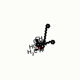 C=CCN1CC[C@]23c4c5c(O)cc(OC(C)=O)c4O[C@H]2[C@@H](N(CCCCc2ccccc2)C(=O)CCCCCCCCCCc2ccccc2)CC[C@H]3[C@H]1C5